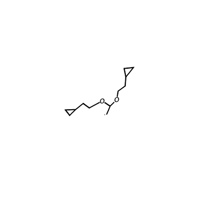 [CH2]C(OCCC1CC1)OCCC1CC1